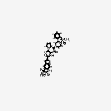 CC(C)(C)C(NC(=O)c1cc2cc(C(F)(F)P(=O)(O)O)ccc2s1)C(=O)N1CCC[C@H]1C(=O)N1CCN(S(C)(=O)=O)[C@@H](c2ccccc2)C1